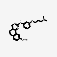 COc1ccc2c(c1)-c1nc(Nc3cccc(OCCCN(C)C)c3)ncc1CC2